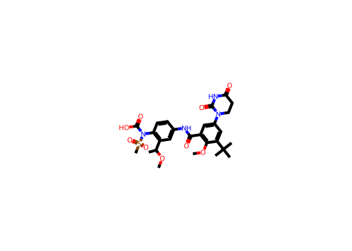 COc1c(C(=O)Nc2ccc(N(C(=O)O)S(C)(=O)=O)c(C(C)OC)c2)cc(N2CCC(=O)NC2=O)cc1C(C)(C)C